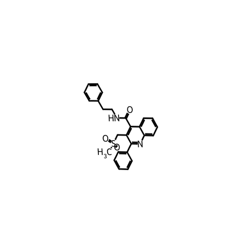 CS(=O)(=O)Cc1c(-c2ccccc2)nc2ccccc2c1C(=O)NCCc1ccccc1